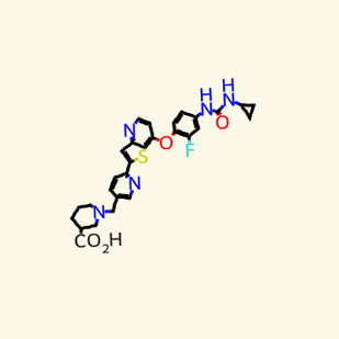 O=C(Nc1ccc(Oc2ccnc3cc(-c4ccc(CN5CCCC(C(=O)O)C5)cn4)sc23)c(F)c1)NC1CC1